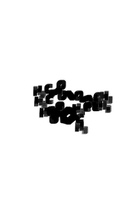 C=C(C)C(=O)OCCOCC[N+](C)(C)C.Cc1ccc(S(=O)(=O)O)cc1